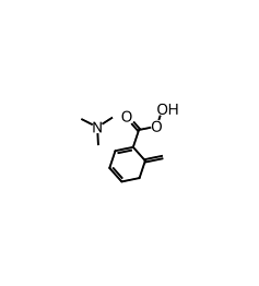 C=C1CC=CC=C1C(=O)OO.CN(C)C